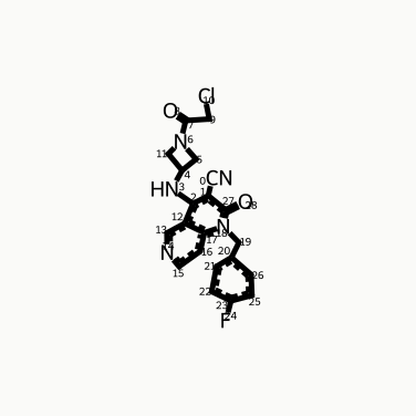 N#Cc1c(NC2CN(C(=O)CCl)C2)c2cnccc2n(Cc2ccc(F)cc2)c1=O